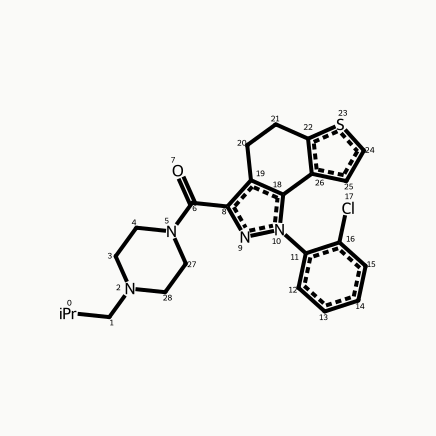 CC(C)CN1CCN(C(=O)c2nn(-c3ccccc3Cl)c3c2CCc2sccc2-3)CC1